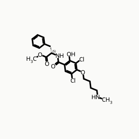 CNCCCCOc1c(Cl)cc(C(=O)N[C@@H](Cc2ccccc2)C(=O)OC)c(O)c1Cl